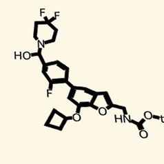 CC(C)(C)OC(=O)NCc1cc2cc(-c3ccc(C(O)N4CCC(F)(F)CC4)cc3F)cc(OC3CCC3)c2o1